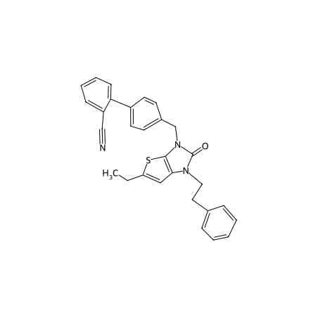 CCc1cc2c(s1)n(Cc1ccc(-c3ccccc3C#N)cc1)c(=O)n2CCc1ccccc1